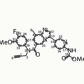 C#CCN(C(=O)c1cc(C)c2ncc(-c3ccc(NC(=O)OC)nc3)n2c1)c1ccc(F)c(OC)c1